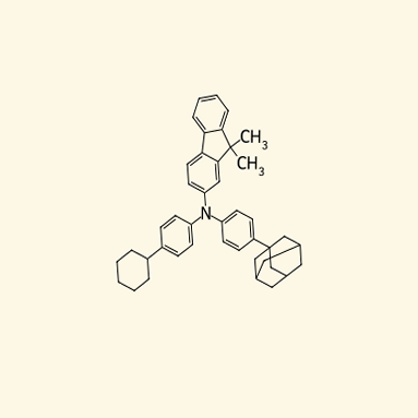 CC1(C)c2ccccc2-c2ccc(N(c3ccc(C4CCCCC4)cc3)c3ccc(C45CC6CC(CC(C6)C4)C5)cc3)cc21